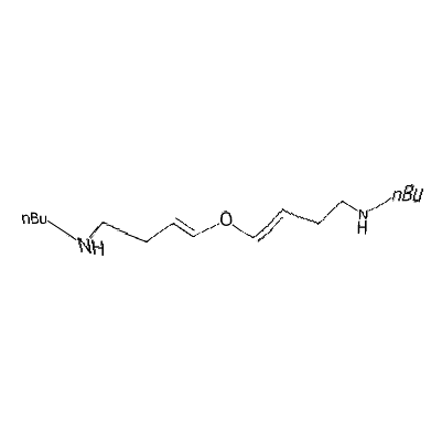 CCCCNCCC=COC=CCCNCCCC